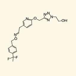 CC(F)(F)c1ccc(CON=CCc2ccc(OCc3nnn(CCO)n3)nc2)cc1